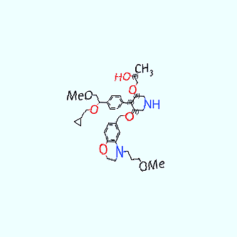 COCCCN1CCOc2ccc(CO[C@H]3CNC[C@@H](OC[C@@H](C)O)[C@@H]3c3ccc(C(COC)OCC4CC4)cc3)cc21